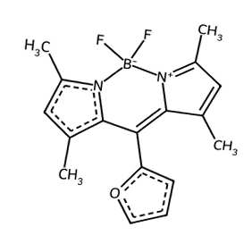 CC1=CC(C)=[N+]2C1=C(c1ccco1)c1c(C)cc(C)n1[B-]2(F)F